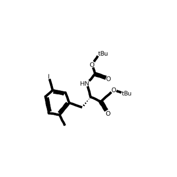 Cc1ccc(I)cc1C[C@H](NC(=O)OC(C)(C)C)C(=O)OC(C)(C)C